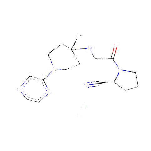 CC1(NCC(=O)N2CCC[C@H]2C#N)CCN(c2cnccn2)CC1.Cl.Cl